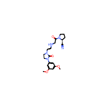 COc1cc(OC)cc(N2CCN(CCNCC(=O)N3CCC[C@H]3C#N)C2=O)c1